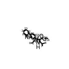 CCCN1NC(C(C)C)=C(C(=O)OCC)C1(C)c1ccc(-c2ccccc2N)cc1